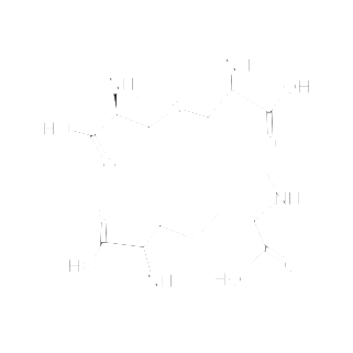 CN[C@@H](CSCC(N)C(=O)O)C(=O)O.NC(CSC[C@H](N)C(=O)O)C(=O)O